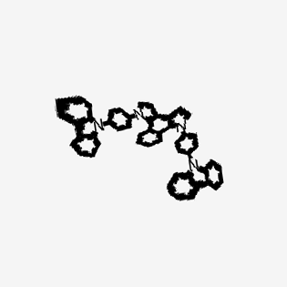 c1ccc2c(c1)c1c(ccn1-c1ccc(-n3c4ccccc4c4ccccc43)cc1)c1ccn(-c3ccc(-n4c5ccccc5c5ccccc54)cc3)c21